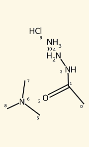 CC(=O)NN.CN(C)C.Cl.N